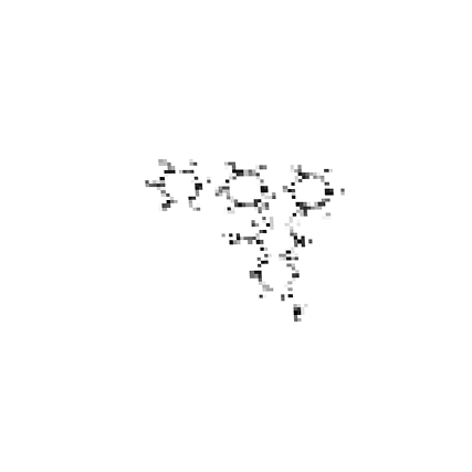 O=c1c2ccc(Br)cc2nc(-c2ccccc2)n1-c1cccc(-c2ccccc2)c1